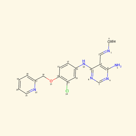 CO/N=C/c1c(N)ncnc1Nc1ccc(OCc2ccccn2)c(Cl)c1